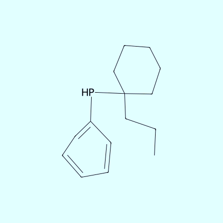 CCCC1(Pc2ccccc2)CCCCC1